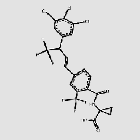 O=C(NC1(C(=O)O)CC1)c1ccc(C=CC(c2cc(Cl)c(Cl)c(Cl)c2)C(F)(F)F)cc1C(F)(F)F